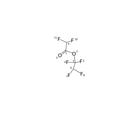 O=C(OC(F)(F)C(F)F)C(F)F